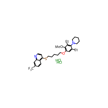 CCc1cc(OCCCCCSc2ccnc3cc(C(F)(F)F)ccc23)c(OC)c(CC)c1N1CCCCC1.Cl.Cl